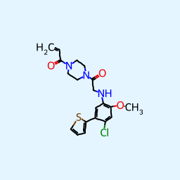 C=CC(=O)N1CCN(C(=O)CNc2cc(-c3cccs3)c(Cl)cc2OC)CC1